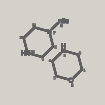 C1COCCN1.CCCCN1CCNCC1